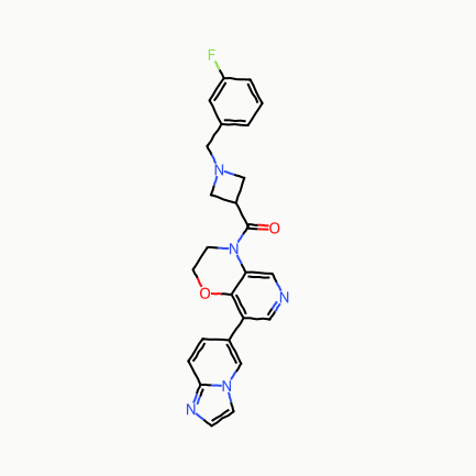 O=C(C1CN(Cc2cccc(F)c2)C1)N1CCOc2c(-c3ccc4nccn4c3)cncc21